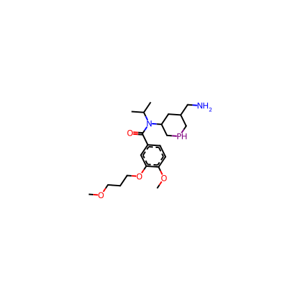 COCCCOc1cc(C(=O)N(C(C)C)C2CPCC(CN)C2)ccc1OC